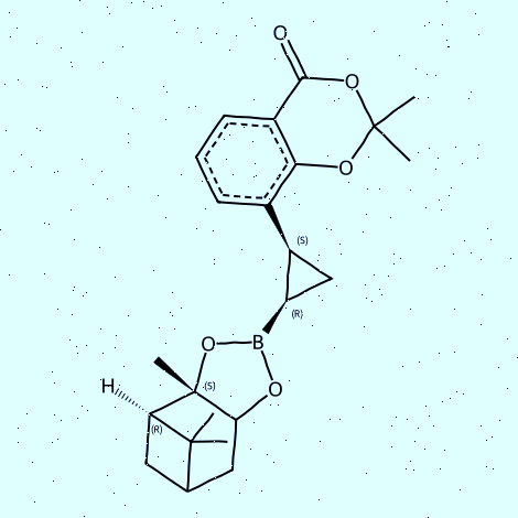 CC1(C)OC(=O)c2cccc([C@H]3C[C@H]3B3OC4CC5C[C@H](C5(C)C)[C@]4(C)O3)c2O1